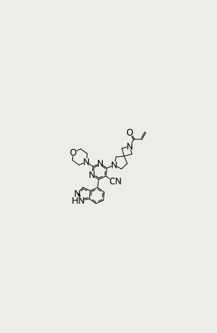 C=CC(=O)N1CC2(CCN(c3nc(N4CCOCC4)nc(-c4cccc5[nH]ncc45)c3C#N)C2)C1